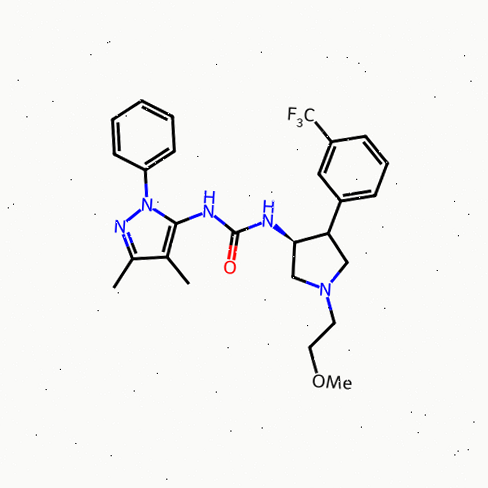 COCCN1CC(c2cccc(C(F)(F)F)c2)[C@H](NC(=O)Nc2c(C)c(C)nn2-c2ccccc2)C1